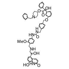 COc1cc(NC(=O)NCc2ccc(COc3cccc([C@](O)(C(=O)OC4CCN(Cc5ccccc5)CC4)c4ccccc4)c3)cc2)ccc1CNC[C@H](O)c1ccc(O)c2[nH]c(=O)ccc12